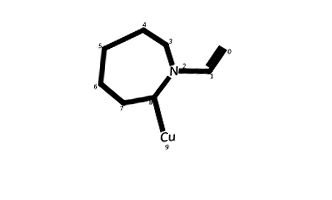 C=CN1CCCCC[CH]1[Cu]